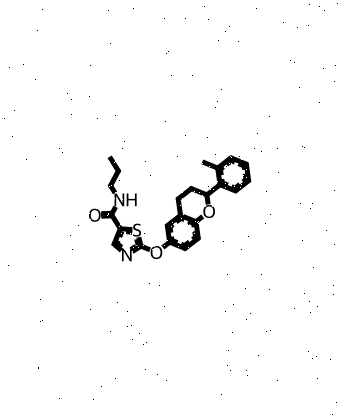 CCCNC(=O)c1cnc(Oc2ccc3c(c2)CCC(c2ccccc2C)O3)s1